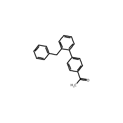 CC(=O)c1ccc(-c2ccccc2Cc2ccccc2)cc1